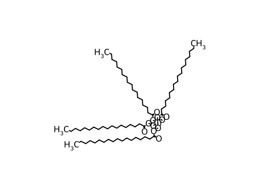 CCCCCCCCCCCCCCCCCC(=O)O[O][Ti](=[O])([O]OC(=O)CCCCCCCCCCCCCCCCC)([O]C(=O)CCCCCCCCCCCCCCCCC)[O]C(=O)CCCCCCCCCCCCCCCCC